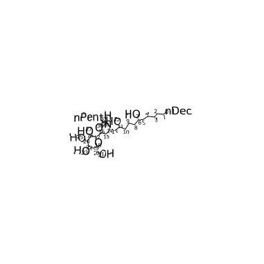 CCCCCCCCCCCCCCCC(O)CCC[C@@H](O)C[C@H](CC[C@H]1O[C@H](CO)[C@H](O)[C@H](O)[C@H]1O)NC(=O)CCCCC